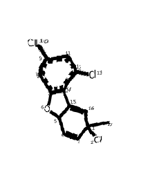 CC1(Cl)C=CC2Oc3cc(Cl)cc(Cl)c3C2=C1